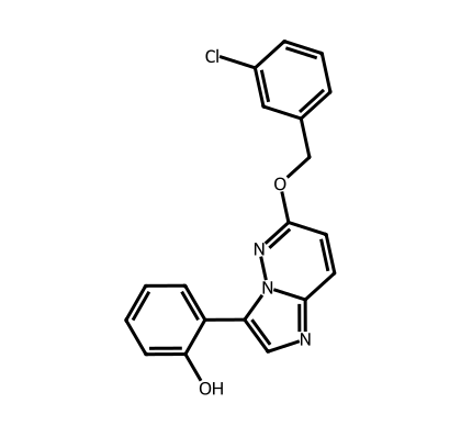 Oc1ccccc1-c1cnc2ccc(OCc3cccc(Cl)c3)nn12